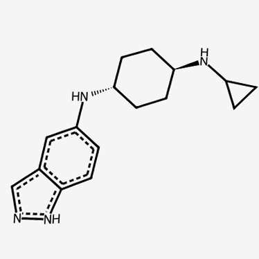 c1cc2[nH]ncc2cc1N[C@H]1CC[C@H](NC2CC2)CC1